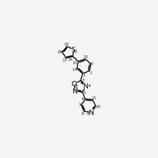 c1cc(-c2nc(-c3ccncc3)no2)cc(-c2cccs2)c1